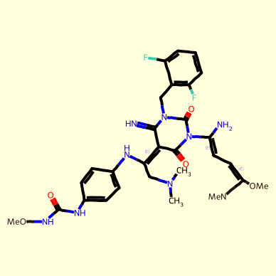 CN/C(=C\C=C(/N)N1C(=O)/C(=C(\CN(C)C)Nc2ccc(NC(=O)NOC)cc2)C(=N)N(Cc2c(F)cccc2F)C1=O)OC